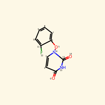 O=c1ccn(Oc2ccccc2F)c(=O)[nH]1